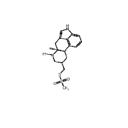 CCN1C[C@H](COS(C)(=O)=O)CC2c3cccc4[nH]cc(c34)C[C@H]21